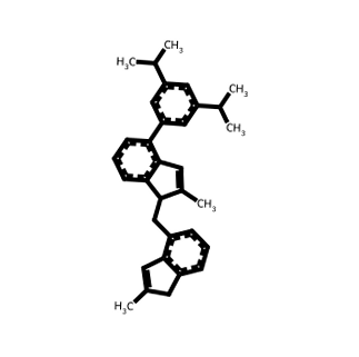 CC1=Cc2c(cccc2CC2C(C)=Cc3c(-c4cc(C(C)C)cc(C(C)C)c4)cccc32)C1